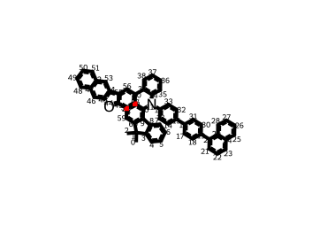 CC1(C)c2ccccc2-c2c(N(c3ccc(-c4ccc(-c5cccc6ccccc56)cc4)cc3)c3ccccc3-c3ccc4oc5cc6ccccc6cc5c4c3)cccc21